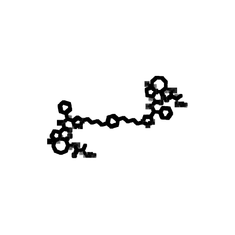 CN[C@@H](C)C(=O)N[C@H]1CCCC[C@H]2CCC(C(=O)N[C@@H](c3ccccc3)c3cn(CCCCc4ccc(CCCCn5cc(C(NC(=O)[C@@H]6CC[C@@H]7CCCC[C@H](NC(=O)[C@H](C)NC)C(=O)N76)c6ccccc6)nn5)cc4)nn3)N2C1=O